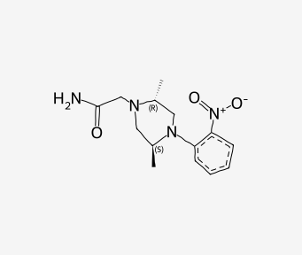 C[C@@H]1CN(c2ccccc2[N+](=O)[O-])[C@@H](C)CN1CC(N)=O